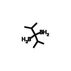 BC(B)(C(C)C)C(C)C